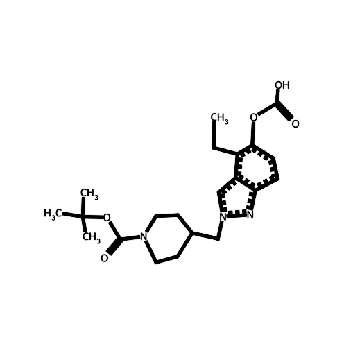 CCc1c(OC(=O)O)ccc2nn(CC3CCN(C(=O)OC(C)(C)C)CC3)cc12